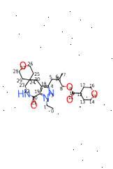 CCn1nc(C[C@@H](C)COC(=O)C2CCOCC2)c2c1C(=O)NCC1(CCOCC1)C2